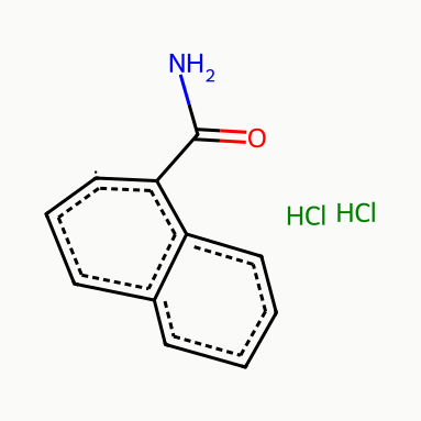 Cl.Cl.NC(=O)c1[c]ccc2ccccc12